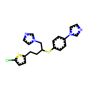 Clc1ccc(CCC(Cn2ccnc2)Sc2ccc(-n3ccnc3)cc2)s1